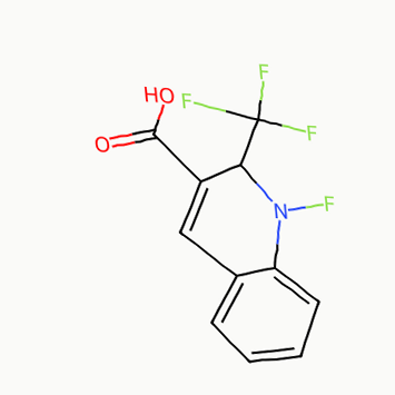 O=C(O)C1=Cc2ccccc2N(F)C1C(F)(F)F